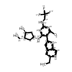 CCc1cc2cc(-c3c(Cl)nc(NCC(F)(F)F)nc3N[C@@H]3C[C@H](CO)[C@@H](O)C3)oc2cn1